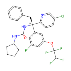 O=C(NC1CCCC1)N[C@@](Cc1ccccc1)(c1cc(F)cc(OC(F)(F)C(F)F)c1)c1ccc(Cl)cn1